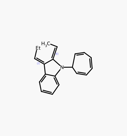 C/C=c1\c(=C/CC)c2ccccc2n1C1C=CC=CC=C1